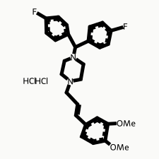 COc1ccc(C=CCN2CCN(C(c3ccc(F)cc3)c3ccc(F)cc3)CC2)cc1OC.Cl.Cl